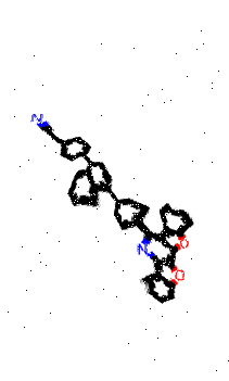 N#Cc1ccc(-c2ccc(-c3ccc(-c4nc5c6ccccc6oc5c5oc6ccccc6c45)cc3)c3ccccc23)cc1